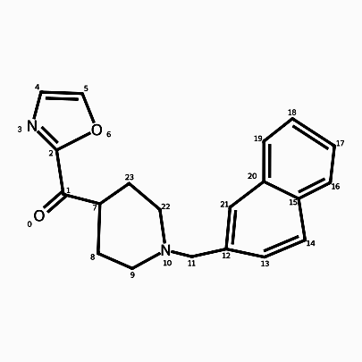 O=C(c1ncco1)C1CCN(Cc2ccc3ccccc3c2)CC1